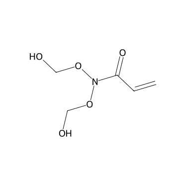 C=CC(=O)N(OCO)OCO